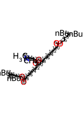 CCCCC(CCCC)CCCCOC(=O)CCCCCCCCCC(CCCCCCCCCC(=O)OCCCCC(CCCC)CCCC)OC(=O)CCCN(C)C